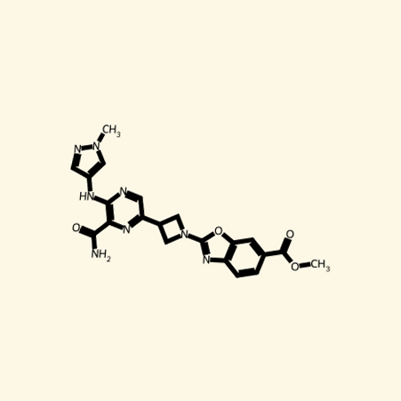 COC(=O)c1ccc2nc(N3CC(c4cnc(Nc5cnn(C)c5)c(C(N)=O)n4)C3)oc2c1